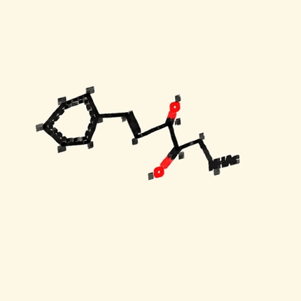 CC(=O)NCC(=O)C(=O)/C=C/c1ccccc1